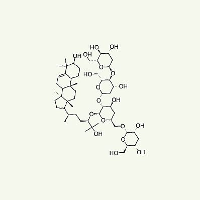 C[C@H](CC[C@@H](O[C@@H]1O[C@H](CO[C@H]2O[C@H](CO)[C@@H](O)C[C@H]2O)C[C@H](O)[C@H]1O[C@H]1C[C@@H](O)[C@H](O[C@@H]2C[C@@H](O)[C@H](O)[C@@H](CO)O2)[C@@H](CO)O1)C(C)(C)O)C1CC[C@@]2(C)C3CC=C4C(CC[C@H](O)C4(C)C)[C@]3(C)CC[C@]12C